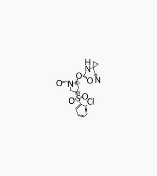 N#CC1(NC(=O)O[C@H]2C[C@@H](S(=O)(=O)c3ccccc3Cl)CN2C=O)CC1